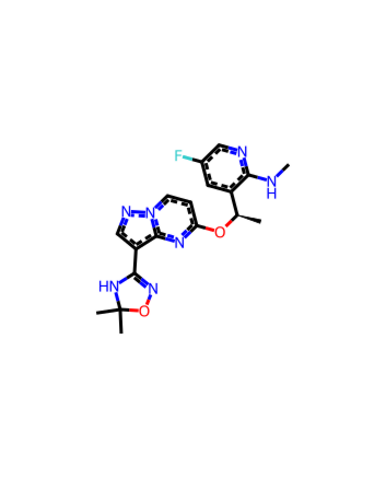 CNc1ncc(F)cc1[C@@H](C)Oc1ccn2ncc(C3=NOC(C)(C)N3)c2n1